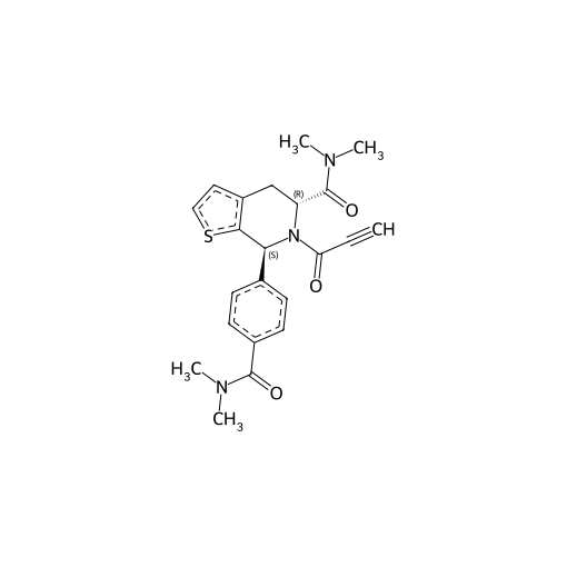 C#CC(=O)N1[C@@H](c2ccc(C(=O)N(C)C)cc2)c2sccc2C[C@@H]1C(=O)N(C)C